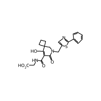 O=C(O)CNC(=O)C1=C(O)C2(CCC2)CN(Cc2cnc(-c3ccccc3)s2)C1=O